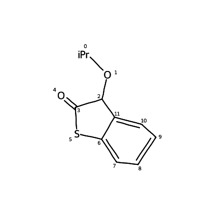 CC(C)OC1C(=O)Sc2ccccc21